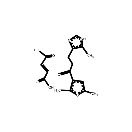 Cc1cc(C(=O)CCc2nc[nH]c2C)c(C)o1.O=C(O)C=CC(=O)O